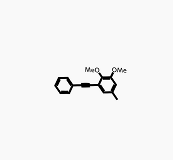 COc1cc(C)cc(C#Cc2ccccc2)c1OC